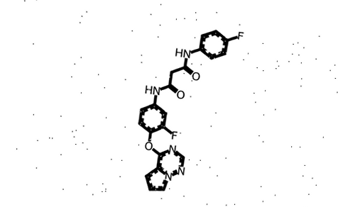 O=C(CC(=O)Nc1ccc(Oc2ncnn3cccc23)c(F)c1)Nc1ccc(F)cc1